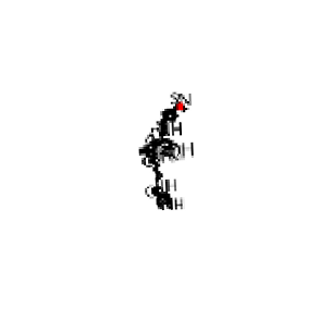 Cc1ncsc1-c1ccc([C@H](C)NC(=O)[C@@H]2C[C@@H](O)CN2C(=O)C(NC(=O)CCCCNC(=O)C2CCNCC2)C(C)(C)C)cc1.Cl